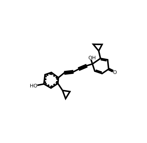 O=C1C=CC(O)(C#CC#Cc2ccc(O)cc2C2CC2)C(C2CC2)=C1